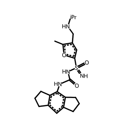 Cc1oc(S(=N)(=O)NC(=O)Nc2c3c(cc4c2CCC4)CCC3)cc1CNC(C)C